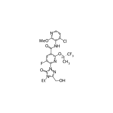 CCn1c(CO)nn(-c2nc(O[C@@H](C)C(F)(F)F)c(C(=O)Nc3c(Cl)ccnc3OC)cc2F)c1=O